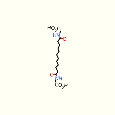 O=C(O)CNC(=O)CCCCCCCCCCC(=O)NCC(=O)O